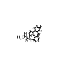 CNC(=O)C(Cc1cccc(Br)c1)n1ccc(-c2ccc(F)cc2)n1